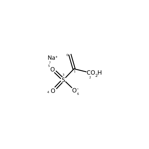 C=C(C(=O)O)S(=O)(=O)[O-].[Na+]